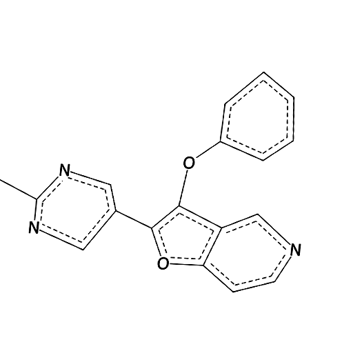 Cc1ncc(-c2oc3ccncc3c2Oc2ccccc2)cn1